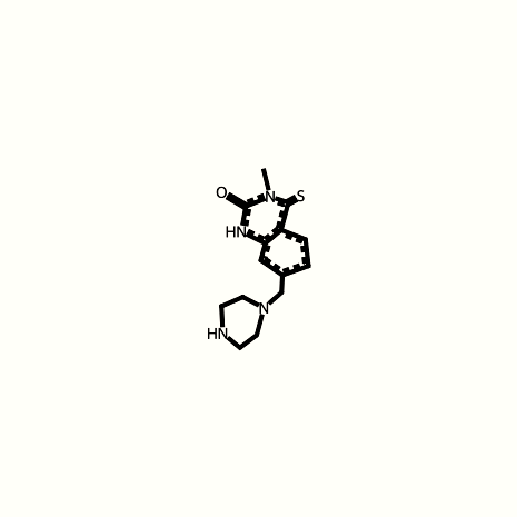 Cn1c(=O)[nH]c2cc(CN3CCNCC3)ccc2c1=S